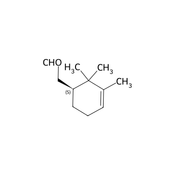 CC1=CCC[C@@H](CC=O)C1(C)C